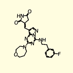 O=C1C/C(=C\c2cnn3c(NCCc4cccc(F)c4)nc(N4CCCOCC4)nc23)C(=O)N1